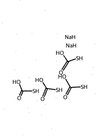 O=C(O)S.O=C(O)S.O=C(O)S.O=C(O)S.[NaH].[NaH]